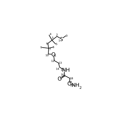 CSCC(C)(C)CC(C)(C)COCCCNC(=O)CON